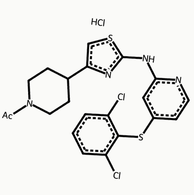 CC(=O)N1CCC(c2csc(Nc3cc(Sc4c(Cl)cccc4Cl)ccn3)n2)CC1.Cl